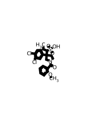 CCC(C1(c2ccc(Cl)c(Cl)c2)CCN(C(=O)c2ccccc2OC)C1)S(=O)(=O)O